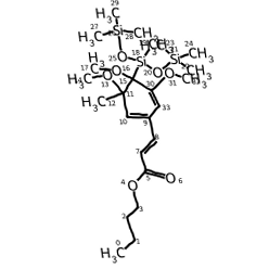 CCCCOC(=O)C=CC1=CC(C)(OC)C(OC)([Si](C)(O[Si](C)(C)C)O[Si](C)(C)C)C(OC)=C1